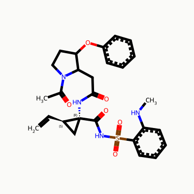 C=C[C@@H]1C[C@]1(NC(=O)CC1C(Oc2ccccc2)CCN1C(C)=O)C(=O)NS(=O)(=O)c1ccccc1NC